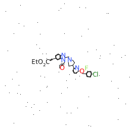 CCOC(=O)C#Cc1ccc2nc(CN3CCC(c4cccc(OCc5ccc(Cl)cc5F)n4)CC3)n(C[C@@H]3CCO3)c2c1